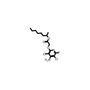 CCCCCCC(C)OC(=O)COc1nc(F)c(Cl)c(N)c1Cl